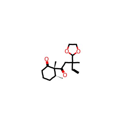 C=CC(C)(CC(=O)[C@@]1(C)C(=O)CCC[C@H]1C)C1OCCO1